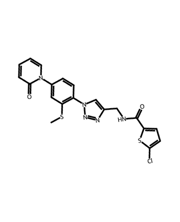 CSc1cc(-n2ccccc2=O)ccc1-n1cc(CNC(=O)c2ccc(Cl)s2)nn1